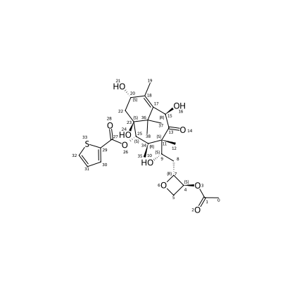 CC(=O)O[C@H]1CO[C@@H]1C[C@H](O)[C@@]1(C)C(=O)[C@H](O)C2=C(C)[C@@H](O)C[C@@](O)([C@@H](OC(=O)c3cccs3)[C@@H]1C)C2(C)C